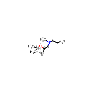 CN(CCC#N)CC(O[SiH](C)C)C(C)(C)C